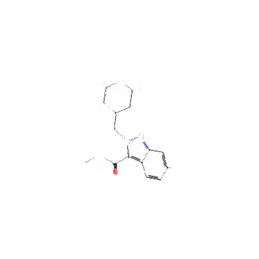 COC(=O)c1c2ccccc2nn1CC1CCOCC1